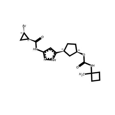 CC(=O)[C@H]1C[C@@H]1C(=O)Nc1cc([C@H]2CC[C@@H](OC(=O)NC3(C)CCC3)C2)[nH]n1